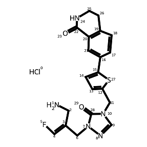 Cl.NC/C(=C\F)Cn1ncn(Cc2ccc(-c3ccc4c(c3)C(=O)NCC4)s2)c1=O